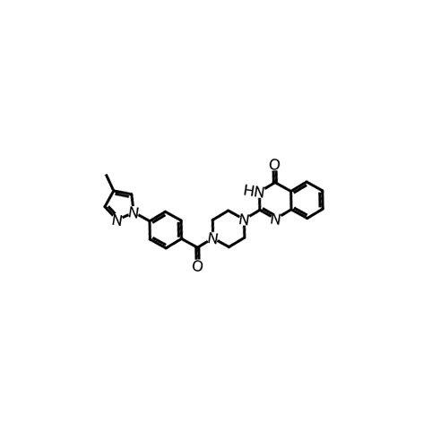 Cc1cnn(-c2ccc(C(=O)N3CCN(c4nc5ccccc5c(=O)[nH]4)CC3)cc2)c1